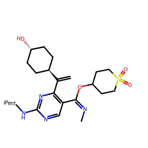 C=C(c1nc(NC(C)CCC)ncc1/C(=N\C)OC1CCS(=O)(=O)CC1)[C@H]1CC[C@H](O)CC1